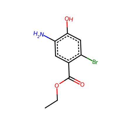 CCOC(=O)c1cc(N)c(O)cc1Br